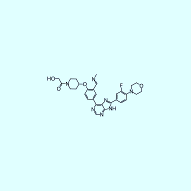 C/N=C/c1cc(-c2ncnc3[nH]c(-c4ccc(N5CCOCC5)c(F)c4)nc23)ccc1OC1CCN(C(=O)CO)CC1